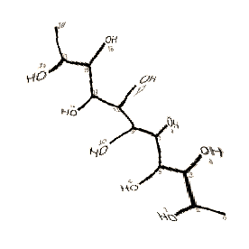 CC(O)C(O)C(O)C(O)C(O)C(O)C(O)C(O)C(C)O